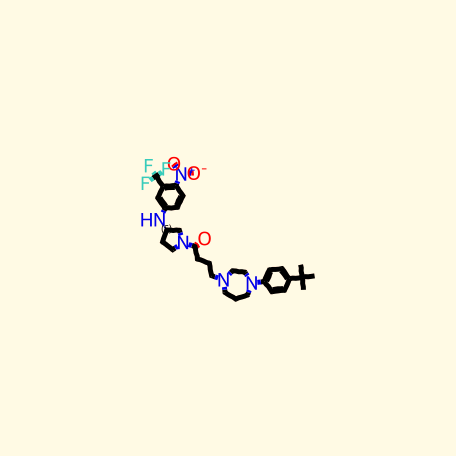 CC(C)(C)c1ccc(N2CCCN(CCCC(=O)N3CC[C@H](Nc4ccc([N+](=O)[O-])c(C(F)(F)F)c4)C3)CC2)cc1